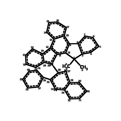 CC1(C)c2ccccc2-c2c1c1c(c3ccccc23)c2ccccc2n1-c1nc2ccccc2nc1-c1ccccc1